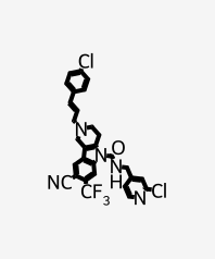 N#Cc1cc2c3c(n(C(=O)NCc4ccnc(Cl)c4)c2cc1C(F)(F)F)CCN(C/C=C/c1ccc(Cl)cc1)C3